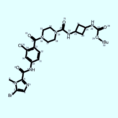 Cn1c(Br)cnc1C(=O)Nc1ccc(C(=O)N2CCN(C(=O)NC3CC(NC(=O)OC(C)(C)C)C3)CC2)c(Cl)c1